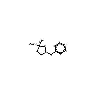 COC1(C(C)C)CCN(Cc2ccccc2)C1